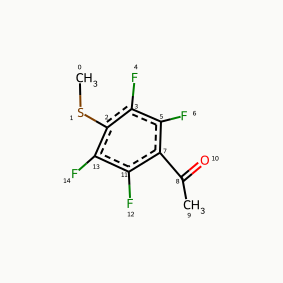 CSc1c(F)c(F)c(C(C)=O)c(F)c1F